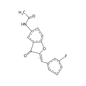 CC(=O)Nc1ccc2c(c1)C(=O)/C(=C/c1cccc(F)c1)O2